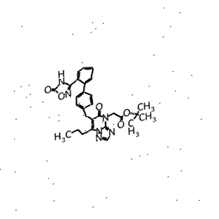 CCCc1c(Cc2ccc(-c3ccccc3-c3noc(=O)[nH]3)cc2)c(=O)n(CC(=O)OC(C)(C)C)c2ncnn12